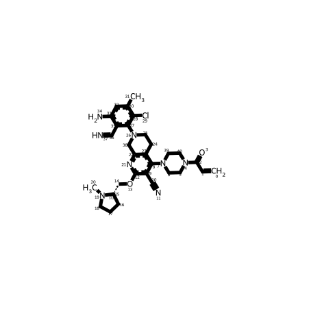 C=CC(=O)N1CCN(c2c(C#N)c(OC[C@@H]3CCCN3C)nc3c2CCN(c2c(Cl)c(C)cc(N)c2C=N)C3)CC1